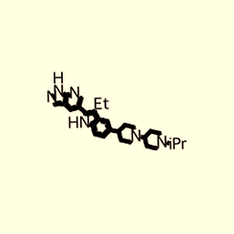 CCc1c(-c2cnc3[nH]ncc3c2)[nH]c2ccc(C3CCN(C4CCN(C(C)C)CC4)CC3)cc12